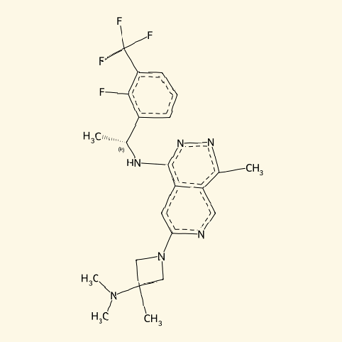 Cc1nnc(N[C@H](C)c2cccc(C(F)(F)F)c2F)c2cc(N3CC(C)(N(C)C)C3)ncc12